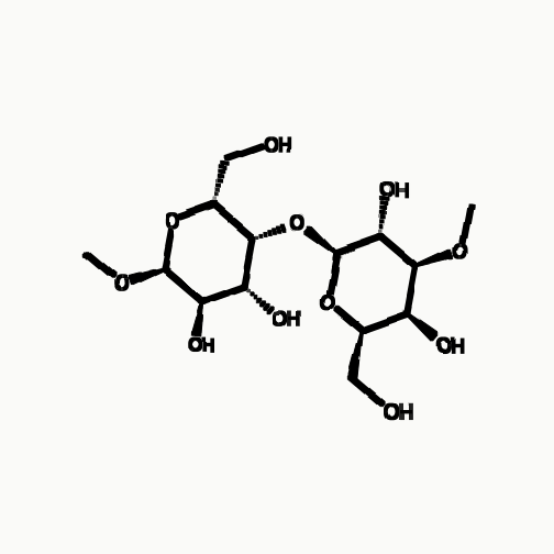 CO[C@H]1O[C@H](CO)[C@H](O[C@@H]2O[C@H](CO)[C@H](O)[C@H](OC)[C@H]2O)[C@H](O)[C@H]1O